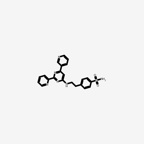 NS(=O)(=O)c1ccc(CCNc2cc(-c3cccnc3)nc(-c3ccccn3)n2)cc1